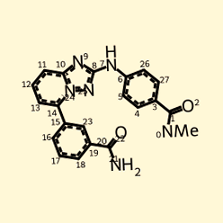 CNC(=O)c1ccc(Nc2nc3cccc(-c4cccc(C(N)=O)c4)n3n2)cc1